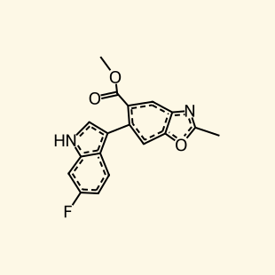 COC(=O)c1cc2nc(C)oc2cc1-c1c[nH]c2cc(F)ccc12